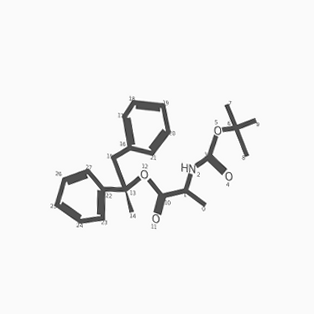 CC(NC(=O)OC(C)(C)C)C(=O)O[C@@](C)(Cc1ccccc1)c1ccccc1